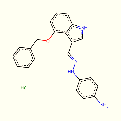 Cl.Nc1ccc(N/N=C/c2c[nH]c3cccc(OCc4ccccc4)c23)cc1